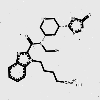 COCCCCn1c(C(=O)N(CC(C)C)[C@@H]2CNC[C@H](c3noc(=O)[nH]3)C2)nc2ccccc21.Cl.Cl